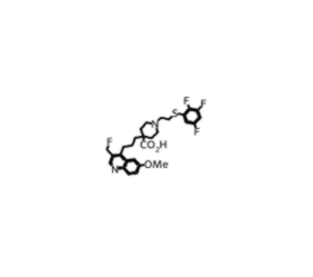 COc1ccc2ncc(CF)c(CCCC3(C(=O)O)CCN(CCSc4cc(F)cc(F)c4F)CC3)c2c1